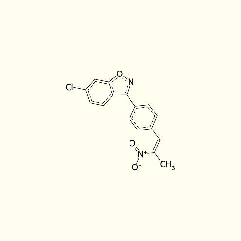 CC(=Cc1ccc(-c2noc3cc(Cl)ccc23)cc1)[N+](=O)[O-]